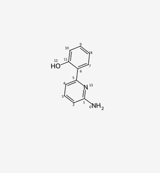 Nc1cccc(-c2c[c]ccc2O)n1